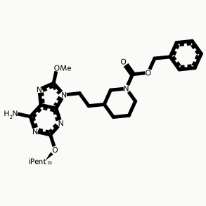 CCC[C@H](C)Oc1nc(N)c2nc(OC)n(CCC3CCCN(C(=O)OCc4ccccc4)C3)c2n1